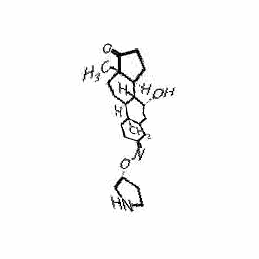 C[C@]12CC/C(=N\O[C@@H]3CCNC3)CC1C[C@@H](O)[C@@H]1[C@@H]2CC[C@]2(C)C(=O)CC[C@@H]12